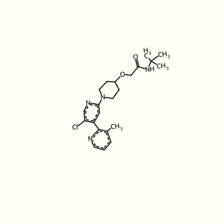 Cc1cccnc1-c1cc(N2CCC(OCC(=O)NC(C)(C)C)CC2)ncc1Cl